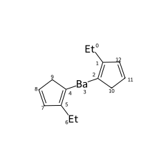 CCC1=[C]([Ba][C]2=C(CC)C=CC2)CC=C1